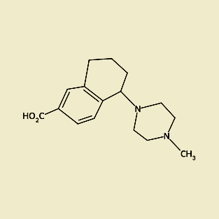 CN1CCN(C2CCCc3cc(C(=O)O)ccc32)CC1